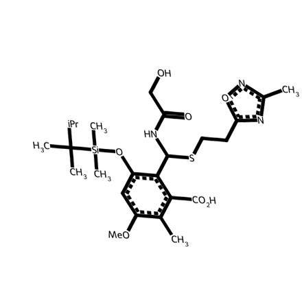 COc1cc(O[Si](C)(C)C(C)(C)C(C)C)c(C(NC(=O)CO)SCCc2nc(C)no2)c(C(=O)O)c1C